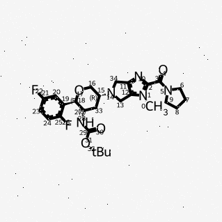 Cn1c(C(=O)N2CCCC2)nc2c1CN([C@H]1CO[C@H](c3cc(F)ccc3F)[C@@H](NC(=O)OC(C)(C)C)C1)C2